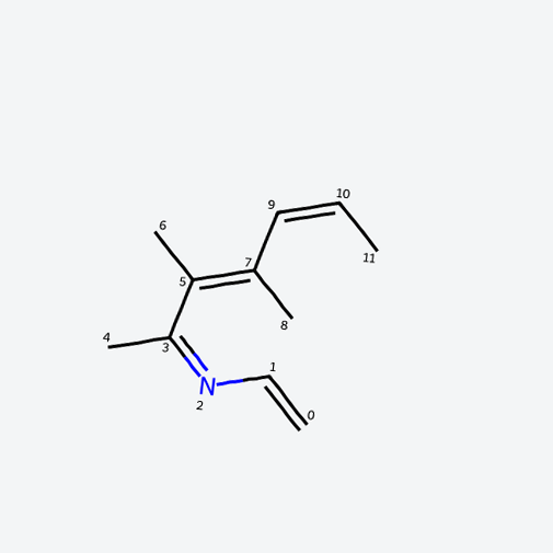 C=C\N=C(C)/C(C)=C(C)/C=C\C